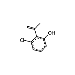 C=C(C)c1c(O)cccc1Cl